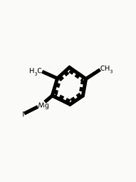 Cc1cc[c]([Mg][I])c(C)c1